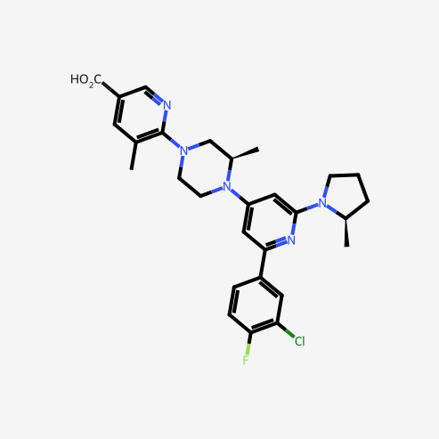 Cc1cc(C(=O)O)cnc1N1CCN(c2cc(-c3ccc(F)c(Cl)c3)nc(N3CCC[C@H]3C)c2)[C@H](C)C1